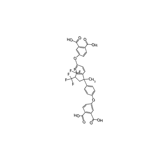 CC(CC(C(F)(F)F)C(F)(F)F)(c1ccc(Oc2ccc(C(=O)O)c(C(=O)O)c2)cc1)c1ccc(Oc2ccc(C(=O)O)c(C(=O)O)c2)cc1